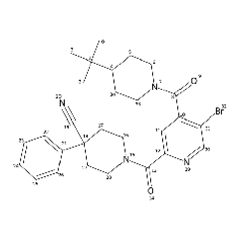 CC(C)(C)C1CCN(C(=O)c2cc(C(=O)N3CCC(C#N)(c4ccccc4)CC3)ncc2Br)CC1